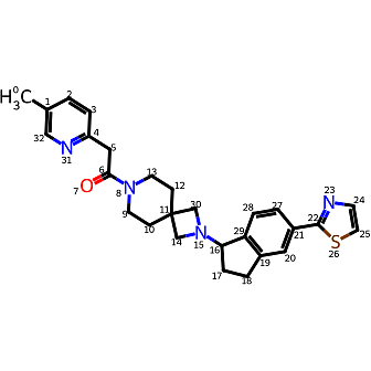 Cc1ccc(CC(=O)N2CCC3(CC2)CN(C2CCc4cc(-c5nccs5)ccc42)C3)nc1